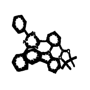 CC1(C)OB(c2cccc(-c3nc(-c4ccccc4)nc(-c4ccccc4)n3)c2-n2c3ccccc3c3ccccc32)OC1(C)C